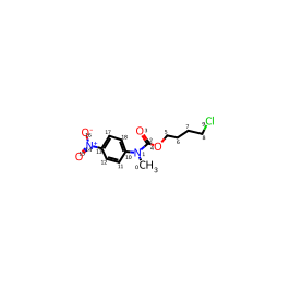 CN(C(=O)OCCCCCl)c1ccc([N+](=O)[O-])cc1